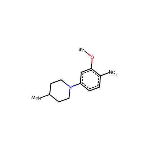 CNC1CCN(c2ccc([N+](=O)[O-])c(OC(C)C)c2)CC1